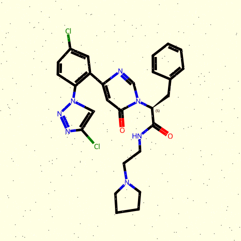 O=C(NCCN1CCCC1)[C@H](Cc1ccccc1)n1cnc(-c2cc(Cl)ccc2-n2cc(Cl)nn2)cc1=O